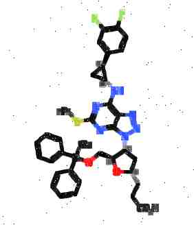 CCCSc1nc(N[C@@H]2C[C@H]2c2ccc(F)c(F)c2)c2nnn([C@@H]3C[C@H](CCC(=O)O)O[C@H]3CO[Si](c3ccccc3)(c3ccccc3)C(C)(C)C)c2n1